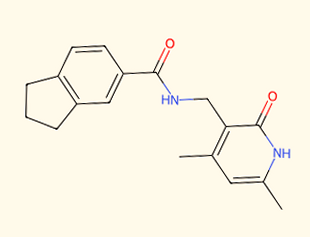 Cc1cc(C)c(CNC(=O)c2ccc3c(c2)CCC3)c(=O)[nH]1